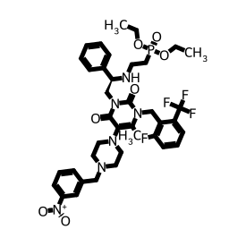 CCOP(=O)(CCN[C@@H](Cn1c(=O)c(N2CCN(Cc3cccc([N+](=O)[O-])c3)CC2)c(C)n(Cc2c(F)cccc2C(F)(F)F)c1=O)c1ccccc1)OCC